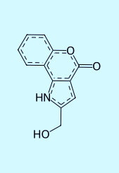 O=c1oc2ccccc2c2[nH]c(CO)cc12